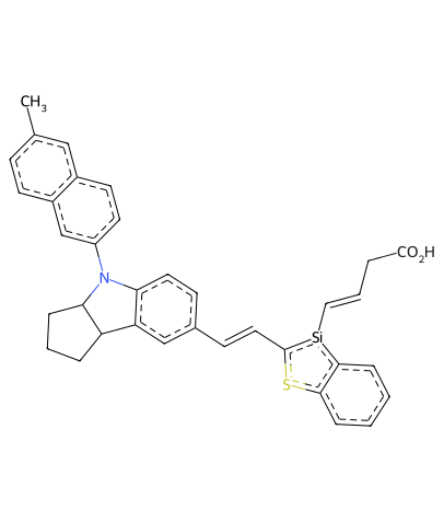 Cc1ccc2cc(N3c4ccc(/C=C/c5sc6ccccc6[si]5/C=C/CC(=O)O)cc4C4CCCC43)ccc2c1